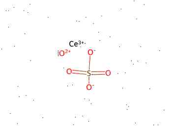 O=S(=O)([O-])[O-].[Ce+3].[O+2]